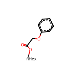 CCCCCCOC(=O)COc1cc[c]cc1